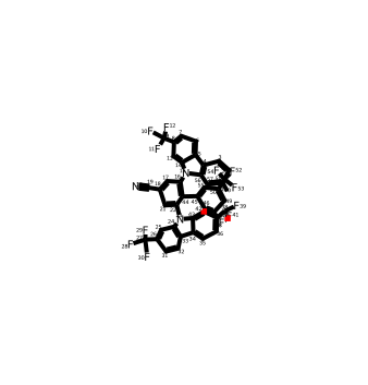 Cc1ccc2c3ccc(C(F)(F)F)cc3n(-c3cc(C#N)cc(-n4c5cc(C(F)(F)F)ccc5c5ccc(C(F)(F)F)cc54)c3-c3cc(F)cc(C(F)(F)F)c3)c2c1